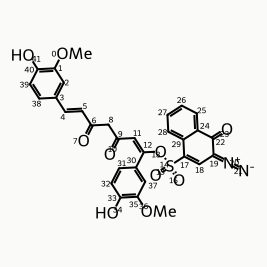 COc1cc(C=CC(=O)CC(=O)C=C(OS(=O)(=O)C2=CC(=[N+]=[N-])C(=O)c3ccccc32)c2ccc(O)c(OC)c2)ccc1O